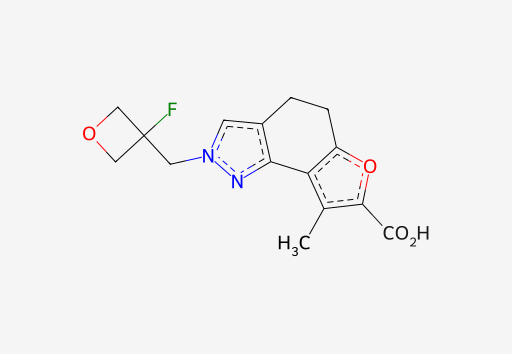 Cc1c(C(=O)O)oc2c1-c1nn(CC3(F)COC3)cc1CC2